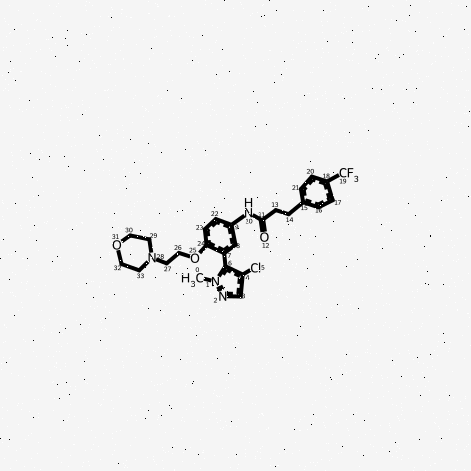 Cn1ncc(Cl)c1-c1cc(NC(=O)CCc2ccc(C(F)(F)F)cc2)ccc1OCCN1CCOCC1